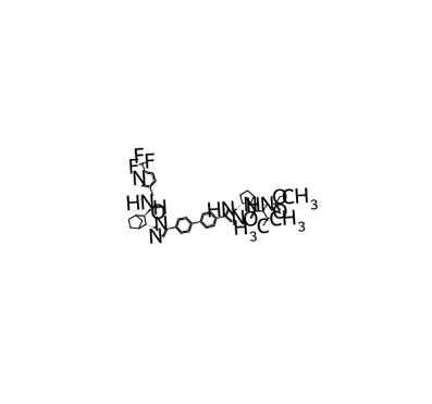 COC(=O)N[C@H](C(=O)N1CCC[C@H]1c1ncc(-c2ccc(-c3ccc(-c4cnc([C@@H]5C6CCC(C6)[C@H]5C(=O)NCc5ccc(C(F)(F)F)nc5)[nH]4)cc3)cc2)[nH]1)C(C)C